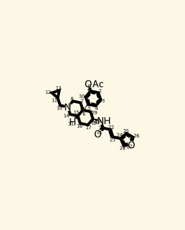 CC(=O)Oc1cccc([C@@]23CCN(CC4CC4)C[C@H]2CC[C@H](NC(=O)C=Cc2ccoc2)C3)c1